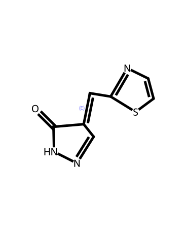 O=C1NN=C/C1=C\c1nccs1